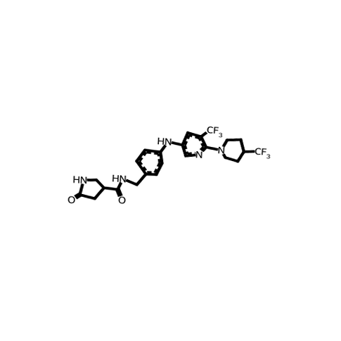 O=C1CC(C(=O)NCc2ccc(Nc3cnc(N4CCC(C(F)(F)F)CC4)c(C(F)(F)F)c3)cc2)CN1